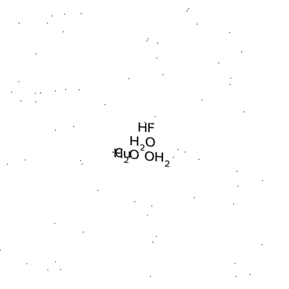 F.O.O.O.[Cu]